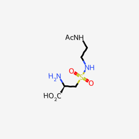 CC(=O)NCCNS(=O)(=O)C[C@H](N)C(=O)O